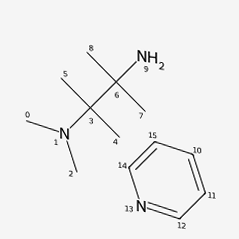 CN(C)C(C)(C)C(C)(C)N.c1ccncc1